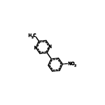 Cc1cnc(-c2cccc([N+](=O)[O-])c2)cn1